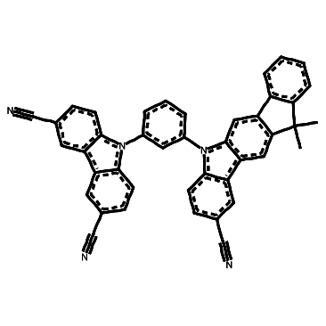 CC1(C)c2ccccc2-c2cc3c(cc21)c1cc(C#N)ccc1n3-c1cccc(-n2c3ccc(C#N)cc3c3cc(C#N)ccc32)c1